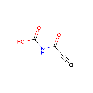 C#CC(=O)NC(=O)O